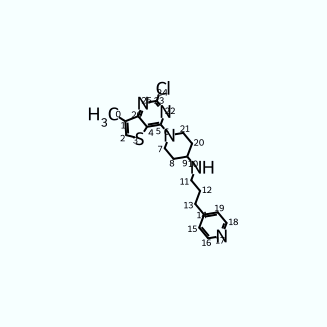 Cc1csc2c(N3CCC(NCCCc4ccncc4)CC3)nc(Cl)nc12